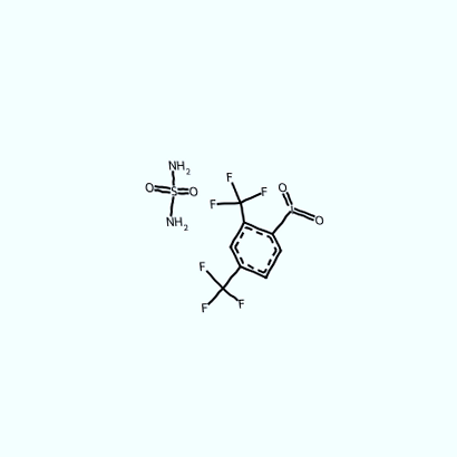 NS(N)(=O)=O.O=I(=O)c1ccc(C(F)(F)F)cc1C(F)(F)F